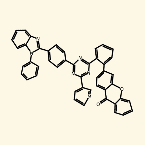 O=c1c2ccccc2oc2cc(-c3ccccc3-c3nc(-c4ccc(-c5nc6ccccc6n5-c5ccccc5)cc4)nc(-c4cccnc4)n3)ccc12